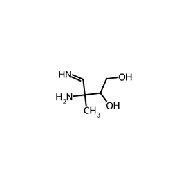 CC(N)(C=N)C(O)CO